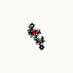 COC(=O)[C@@H](C)C[C@H](Cc1ccccc1)NC(=O)c1csc([C@@H](C[C@H](C(C)C)N(C)C(=O)[C@@H](NC(=O)[C@H]2CCCCN2C)C(C(F)(F)F)C(F)(F)F)OC(C)=O)n1